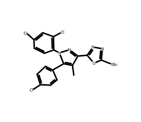 Cc1c(-c2nnc(C(C)(C)C)o2)nn(-c2ccc(Cl)cc2Cl)c1-c1ccc(Cl)cc1